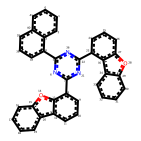 c1ccc2c(-c3nc(-c4cccc5c4oc4ccccc45)nc(-c4cccc5oc6ccccc6c45)n3)cccc2c1